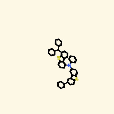 c1ccc(-c2ccc3sc4ccc(N(c5ccccc5)c5cccc6sc7c(C(c8ccccc8)c8ccccc8)cccc7c56)cc4c3c2)cc1